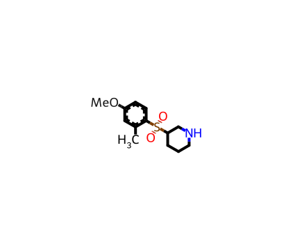 COc1ccc(S(=O)(=O)C2CCCNC2)c(C)c1